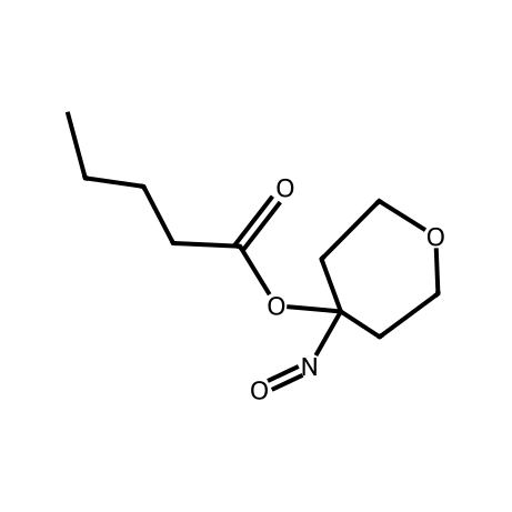 CCCCC(=O)OC1(N=O)CCOCC1